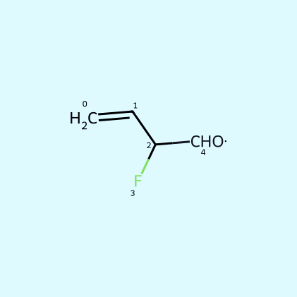 C=CC(F)[C]=O